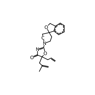 C=CCC1(CC(=C)C)OC(N2CCC3(CC2)OCc2ccccc23)=NC1=O